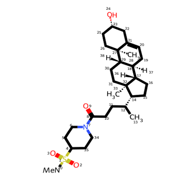 CNS(=O)(=O)C1CCN(C(=O)CCC(C)[C@H]2CC[C@H]3[C@@H]4CC=C5C[C@@H](O)CC[C@]5(C)[C@H]4CC[C@]23C)CC1